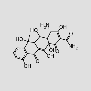 CC1(O)c2cccc(O)c2C(=O)C2=C(O)C3(O)C(=O)C(C(N)=O)=C(O)[C@@H](N)C3C(O)C21